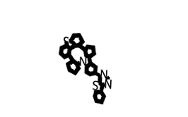 c1ccc2c(c1)sc1c(-c3ccc4c(c3)c3cccc5c6cccc7sc8cccc(c9ccccc9n4c53)c8c76)ncnc12